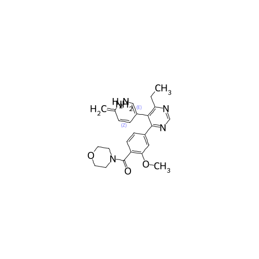 C=C(N)/C=C\C(=C/N)c1c(CC)ncnc1-c1ccc(C(=O)N2CCOCC2)c(OC)c1